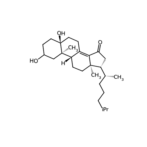 CC(C)CCC[C@@H](C)[C@H]1CC(=O)C2=C3CC[C@@]4(O)CCC(O)C[C@]4(C)[C@H]3CC[C@@]21C